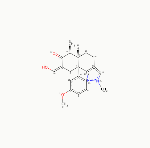 COc1cccc([C@]23CC(=CO)C(=O)[C@@H](C)[C@@H]2CCc2cn(C)nc23)c1